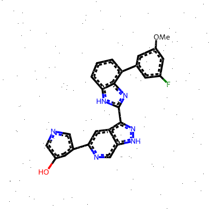 COc1cc(F)cc(-c2cccc3[nH]c(-c4n[nH]c5cnc(-c6cncc(O)c6)cc45)nc23)c1